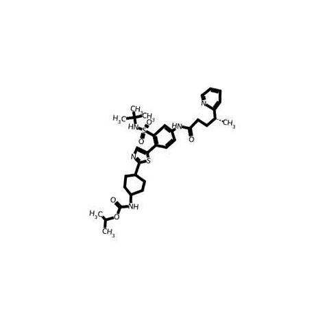 CC(C)OC(=O)NC1CCC(c2ncc(-c3ccc(NC(=O)CC[C@@H](C)c4ccccn4)cc3S(=O)(=O)NC(C)(C)C)s2)CC1